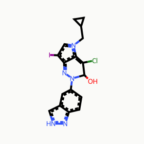 OC1C(Cl)=c2c(c(I)cn2CC2CC2)=NN1c1ccc2n[nH]cc2c1